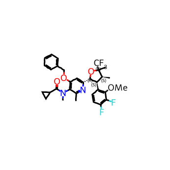 COc1c([C@H]2[C@H](c3cc(OCc4ccccc4)c(N(C)C(=O)C4CC4)c(C)n3)O[C@@](C)(C(F)(F)F)[C@H]2C)ccc(F)c1F